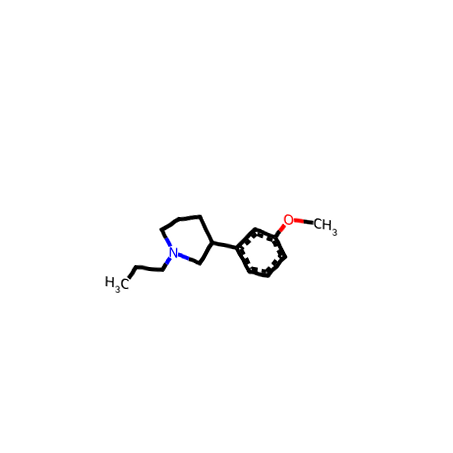 CCCN1CCCC(c2cccc(OC)c2)C1